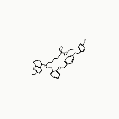 CCOC(=O)CCCCN(CCc1ccccc1OCc1ccc(CCc2ccc(F)cc2)cc1)C1CCCc2nc(CC)ccc21